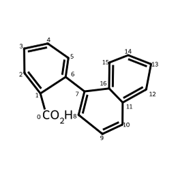 O=C(O)c1ccccc1-c1cccc2ccccc12